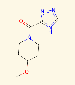 COC1CCN(C(=O)c2nnc[nH]2)CC1